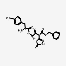 CC(C)[C@H](NC(=O)[C@@H](N)Cc1ccc([N+](=O)[O-])cc1)C(=O)N(C(=O)OCc1ccccc1)c1n[nH]c(=S)s1